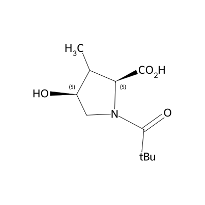 CC1[C@H](O)CN(C(=O)C(C)(C)C)[C@@H]1C(=O)O